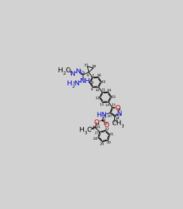 C=N/N=C(\NN)C1(c2ccc(-c3ccc(-c4onc(C)c4NC(=O)O[C@H](C)c4ccccc4)cc3)cc2)CC1